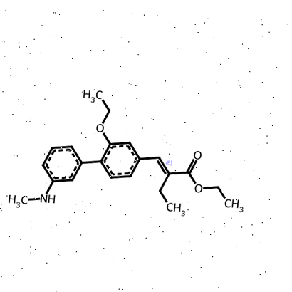 CCOC(=O)/C(=C/c1ccc(-c2cccc(NC)c2)c(OCC)c1)CC